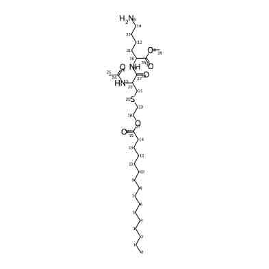 CCCCCCCCCCCCCCCC(=O)OCCSCC(NC(C)=O)C(=O)NC(CCCCN)C(=O)OC